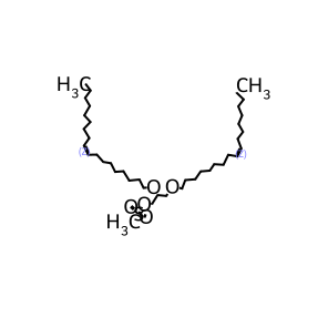 CCCCCCCC/C=C\CCCCCCCCOCC(COS(C)(=O)=O)OCCCCCCCC/C=C\CCCCCCCC